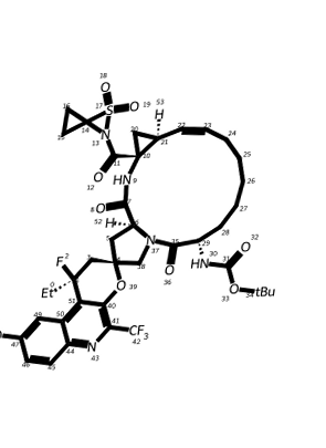 CC[C@]1(F)C[C@]2(C[C@H]3C(=O)N[C@]4(C(=O)N5C6(CC6)S5(=O)=O)C[C@H]4/C=C\CCCCC[C@H](NC(=O)OC(C)(C)C)C(=O)N3C2)Oc2c(C(F)(F)F)nc3ccc(OC)cc3c21